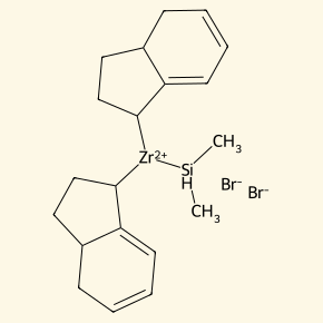 C[SiH](C)[Zr+2]([CH]1CCC2CC=CC=C21)[CH]1CCC2CC=CC=C21.[Br-].[Br-]